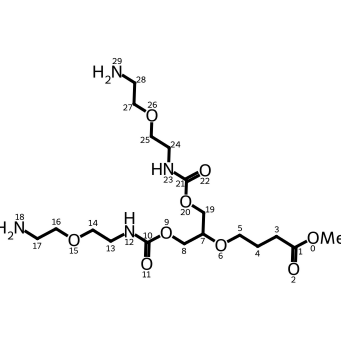 COC(=O)CCCOC(COC(=O)NCCOCCN)COC(=O)NCCOCCN